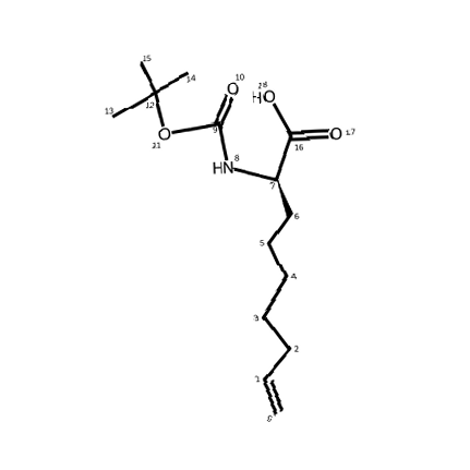 C=CCCCCC[C@@H](NC(=O)OC(C)(C)C)C(=O)O